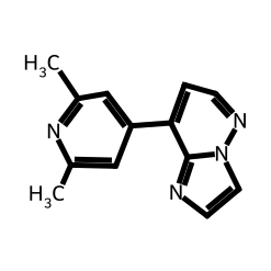 Cc1cc(-c2ccnn3ccnc23)cc(C)n1